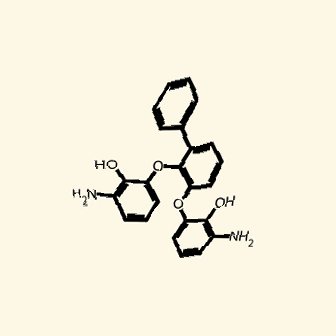 Nc1cccc(Oc2cccc(-c3ccccc3)c2Oc2cccc(N)c2O)c1O